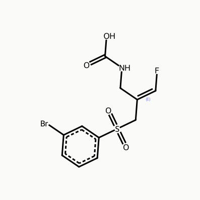 O=C(O)NC/C(=C\F)CS(=O)(=O)c1cccc(Br)c1